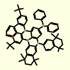 CC(C)(C)c1ccc2c(c1)B1c3cc4c(cc3N(c3ccc5c(c3)C(C)(C)CCC5(C)C)c3cc(N(c5ccccc5)c5ccccc5)cc(c31)N2c1ccc(C(C)(C)C)cc1-c1ccccc1)C(C)(C)CCC4(C)C